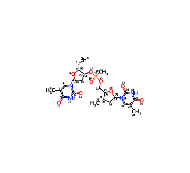 [2H]C[C@H]1O[C@@H](n2cc(C)c(=O)[nH]c2=O)C[C@@H]1OP(C)(=O)OC[C@H]1O[C@@H](n2cc(C)c(=O)[nH]c2=O)C[C@@H]1C